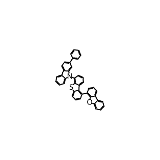 c1ccc(-c2ccc3c4ccccc4n(-c4cccc5c4sc4cccc(-c6cccc7c6oc6ccccc67)c45)c3c2)cc1